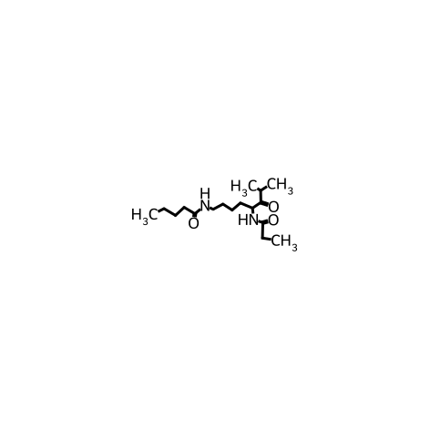 CCCCC(=O)NCCCCC(NC(=O)CC)C(=O)C(C)C